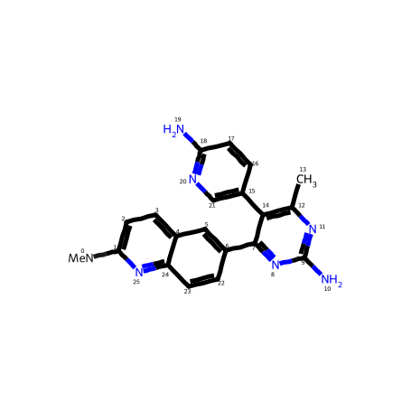 CNc1ccc2cc(-c3nc(N)nc(C)c3-c3ccc(N)nc3)ccc2n1